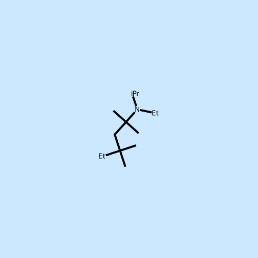 CCN(C(C)C)C(C)(C)CC(C)(C)CC